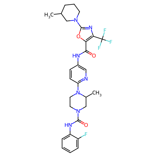 CC1CCCN(c2nc(C(F)(F)F)c(C(=O)Nc3ccc(N4CCN(C(=O)Nc5ccccc5F)CC4C)nc3)o2)C1